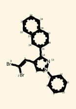 BrC(Br)=Cc1cn(-c2ccccc2)nc1-c1ccc2ccccc2c1